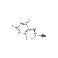 C/C(=N\c1c(C)cc(C)cc1C)C(C)(C)C